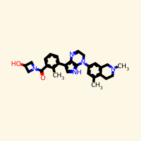 Cc1cc(N2CC=Nc3c(-c4cccc(C(=O)N5CC(O)C5)c4C)c[nH]c32)cc2c1CCN(C)C2